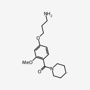 COc1cc(OCCCN)ccc1C(=O)N1CC[CH]CC1